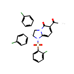 COC(=O)c1ccc2n(c1=O)[C@@H](c1ccc(Cl)cc1)[C@@H](c1ccc(Cl)cc1)N2S(=O)(=O)c1ccccc1F